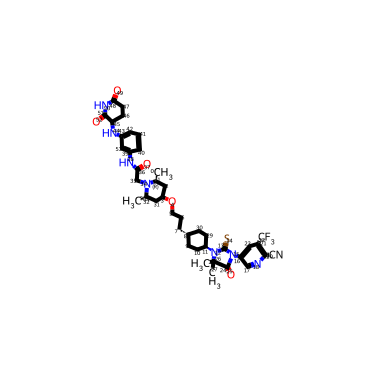 C[C@@H]1CC(OCCC[C@H]2CC[C@H](N3C(=S)N(c4cnc(C#N)c(C(F)(F)F)c4)C(=O)C3(C)C)CC2)C[C@H](C)N1CC(=O)Nc1cccc(NC2CCC(=O)NC2=O)c1